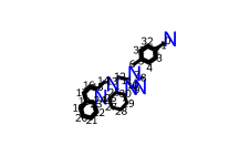 N#Cc1ccc(Cn2cnnc2CN(Cc2ccc3ccccc3n2)C2CCCCC2)cc1